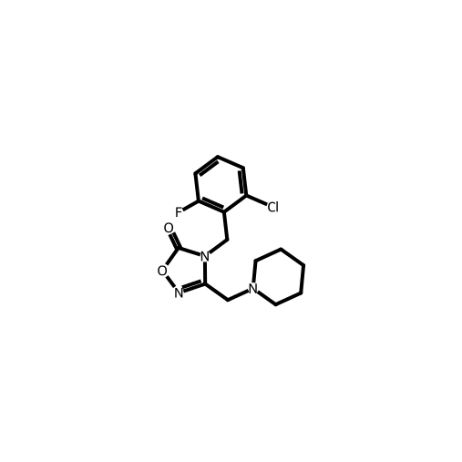 O=c1onc(CN2CCCCC2)n1Cc1c(F)cccc1Cl